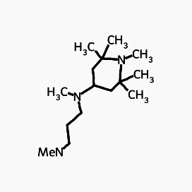 CNCCCN(C)C1CC(C)(C)N(C)C(C)(C)C1